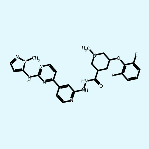 CN1CC(Oc2c(F)cccc2F)CC(C(=O)NNc2cc(-c3ccnc(Nc4ccnn4C)n3)ccn2)C1